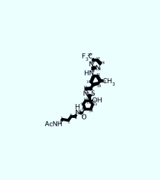 CC(=O)NCCCCNC(=O)[C@H]1CC[C@](O)(c2ncc(-c3cc(C)cc(Nc4nccc(C(F)(F)F)n4)c3)s2)CC1